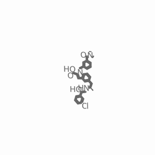 C[C@H](Cc1ccc2c(c1)cc(C(=O)O)n2Cc1cccc(C(=O)N(C)C)c1)NC[C@@H](O)c1cccc(Cl)c1